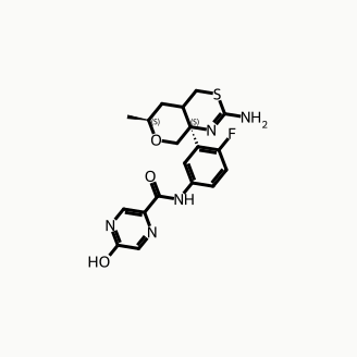 C[C@H]1CC2CSC(N)=N[C@@]2(c2cc(NC(=O)c3cnc(O)cn3)ccc2F)CO1